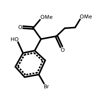 COCCC(=O)C(C(=O)OC)c1cc(Br)ccc1O